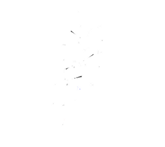 CC1C(=O)CC[C@]2(C)[C@@H]3CC[C@]4(C)C(O)CC[C@H]4[C@@H]3CCN12